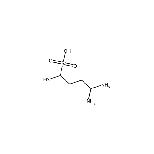 NC(N)CCC(S)S(=O)(=O)O